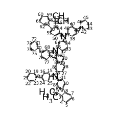 CC1(C)c2ccccc2-c2ccc(N(c3ccc(-c4ccccc4)cc3)c3ccc4cc5c6ccc(N(c7ccc(-c8ccccc8)cc7)c7ccc8c(c7)C(C)(C)c7ccccc7-8)cc6n6c7cc(-c8ccccc8)ccc7c(c4c3)c56)cc21